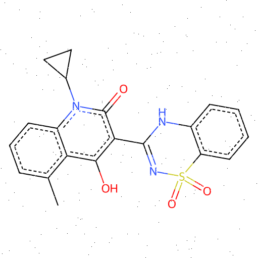 Cc1cccc2c1c(O)c(C1=NS(=O)(=O)c3ccccc3N1)c(=O)n2C1CC1